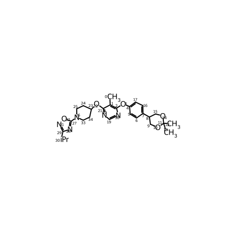 Cc1c(Oc2ccc(C3COC(C)(C)OC3)cc2)ncnc1OC1CCN(c2nc(C(C)C)no2)CC1